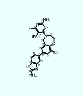 Cc1nc(N)nc(N2CCOc3c(Cl)cc(-c4cnc5sc(N)nc5c4)cc3C2)c1C(C)C